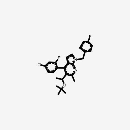 Cc1nc2c(ccn2Cc2ccc(F)cc2)c(-c2ccc(Cl)cc2F)c1C(C)OC(C)(C)C